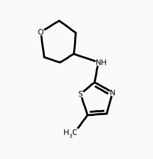 Cc1cnc(NC2CCOCC2)s1